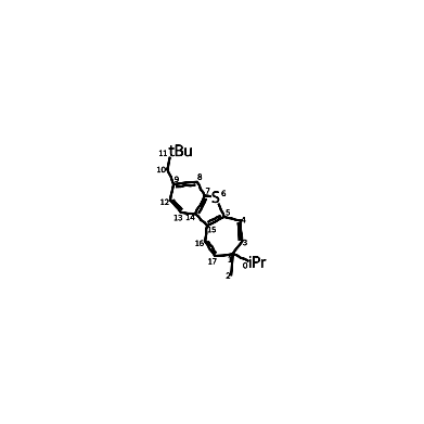 CC(C)C1(C)C=Cc2sc3cc(CC(C)(C)C)ccc3c2C=C1